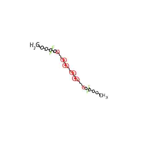 CCCC1CCC(C2CCC(c3cc(F)c(-c4ccc(OCCCCCCOC(=O)CCC(=O)OCCCCOC(=O)CCC(=O)OCCCCCCOc5ccc(-c6c(F)cc(C7CCC(C8CCC(CCC)CC8)CC7)cc6F)cc5)cc4)c(F)c3)CC2)CC1